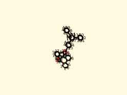 C1=CCC2C(=C1)C1C=CC=CC1C1(c3ccccc3-c3cc(-c4ccc(-c5cc(-c6ccccc6)nc(-c6ccccc6)n5)cc4)ccc31)c1ccccc12